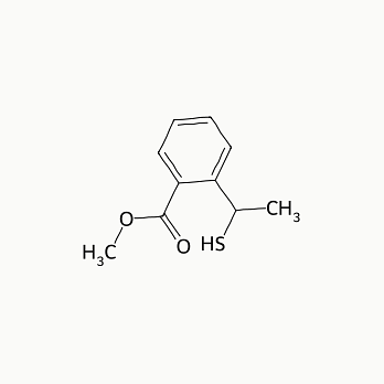 COC(=O)c1ccccc1C(C)S